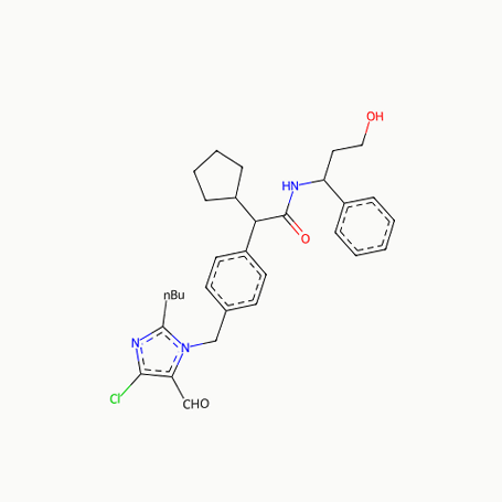 CCCCc1nc(Cl)c(C=O)n1Cc1ccc(C(C(=O)NC(CCO)c2ccccc2)C2CCCC2)cc1